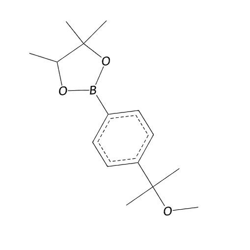 COC(C)(C)c1ccc(B2OC(C)C(C)(C)O2)cc1